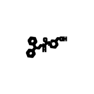 O=C(NCCC(c1ccccc1)c1ccccc1)N1CCCC(CO)C1